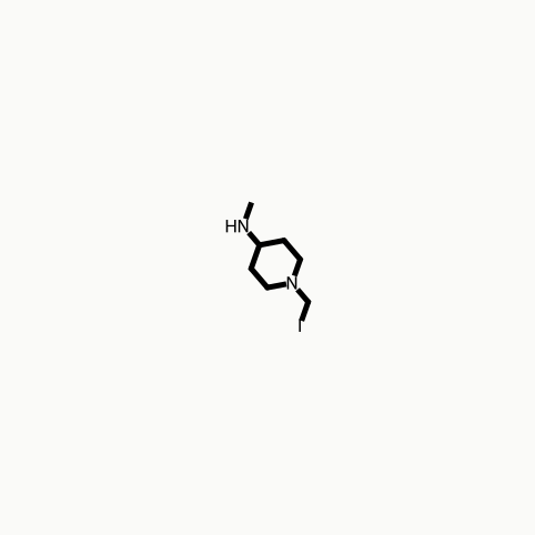 CNC1CCN(CI)CC1